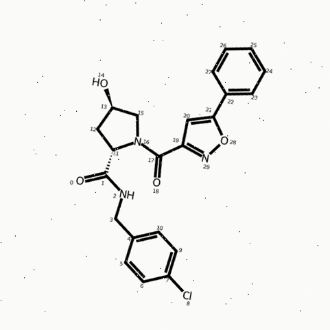 O=C(NCc1ccc(Cl)cc1)[C@@H]1C[C@@H](O)CN1C(=O)c1cc(-c2ccccc2)on1